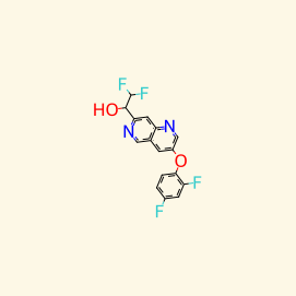 OC(c1cc2ncc(Oc3ccc(F)cc3F)cc2cn1)C(F)F